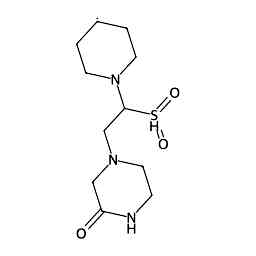 O=C1CN(CC(N2CC[CH]CC2)[SH](=O)=O)CCN1